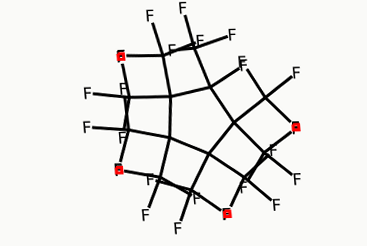 FC(F)(F)C1(F)C(C(F)(F)F)(C(F)(F)F)C(C(F)(F)F)(C(F)(F)F)C(C(F)(F)F)(C(F)(F)F)C1(C(F)(F)F)C(F)(F)F